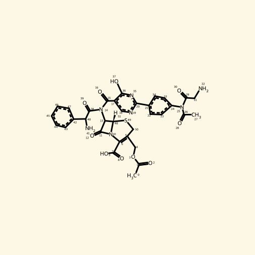 CC(=O)OCC1=C(C(=O)O)N2C(=O)C(N(C(=O)c3cnc(-c4ccc(N(C(C)=O)C(=O)CN)cc4)nc3O)C(=O)C(N)c3ccccc3)[C@@H]2SC1